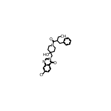 CCC(Cc1ccccc1)C(=O)N1CCC(O)(Cn2cnc3cc(Cl)ccc3c2=O)CC1